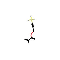 C=C(C)C(=C)OCC#CS(C)(C)C